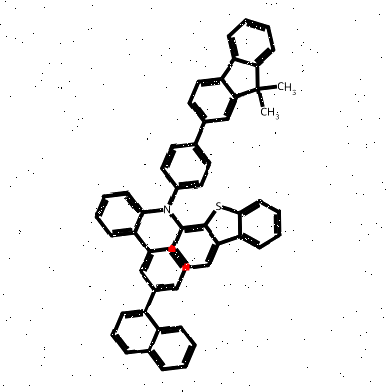 CC1(C)c2ccccc2-c2ccc(-c3ccc(N(c4ccccc4-c4cccc(-c5cccc6ccccc56)c4)c4cccc5c4sc4ccccc45)cc3)cc21